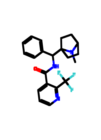 CN1C2CCC1(C(NC(=O)c1cccnc1C(F)(F)F)c1ccccc1)CC2